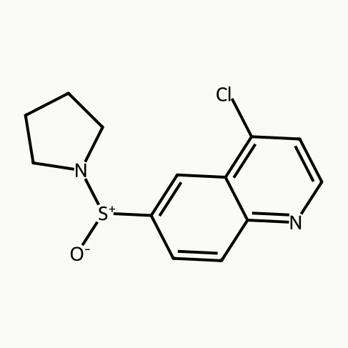 [O-][S+](c1ccc2nccc(Cl)c2c1)N1CCCC1